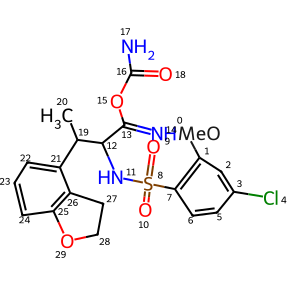 COc1cc(Cl)ccc1S(=O)(=O)NC(C(=N)OC(N)=O)C(C)c1cccc2c1CCO2